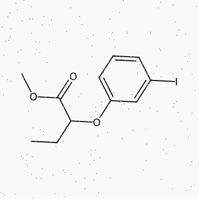 CCC(Oc1cccc(I)c1)C(=O)OC